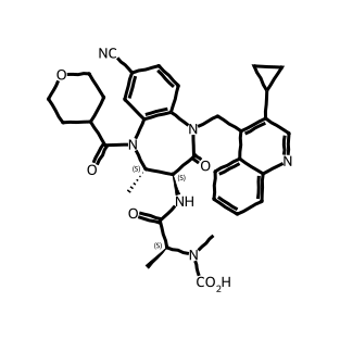 C[C@@H](C(=O)N[C@@H]1C(=O)N(Cc2c(C3CC3)cnc3ccccc23)c2ccc(C#N)cc2N(C(=O)C2CCOCC2)[C@H]1C)N(C)C(=O)O